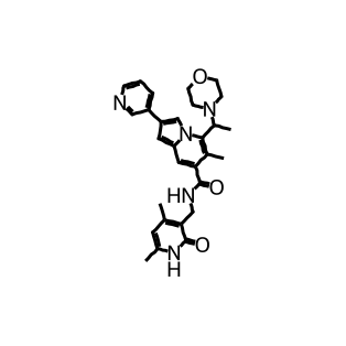 Cc1cc(C)c(CNC(=O)c2cc3cc(-c4cccnc4)cn3c(C(C)N3CCOCC3)c2C)c(=O)[nH]1